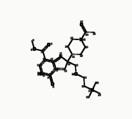 COC(=O)c1c[nH]c(=O)c2c1=NC(COCC[Si](C)(C)C)(C1CCN(C(C)=O)CC1)C=2